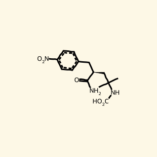 CC(C)(C[C@H](Cc1ccc([N+](=O)[O-])cc1)C(N)=O)NC(=O)O